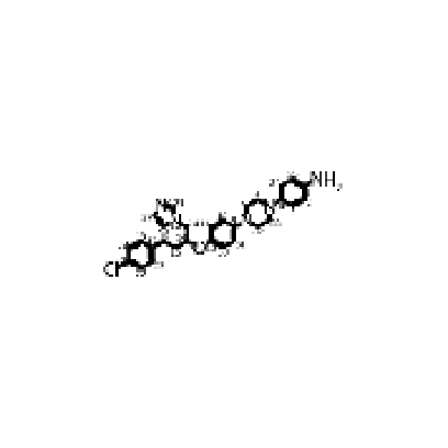 Nc1ccc(N2CCN(c3ccc(OC(CCc4ccc(Cl)cc4)Cn4ccnc4)cc3)CC2)cc1